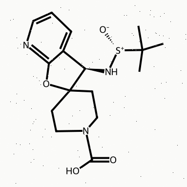 CC(C)(C)[S@@+]([O-])N[C@@H]1c2cccnc2OC12CCN(C(=O)O)CC2